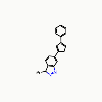 CC(C)C1N=Nc2cc(C3=CC(c4ccccc4)=CC3)ccc21